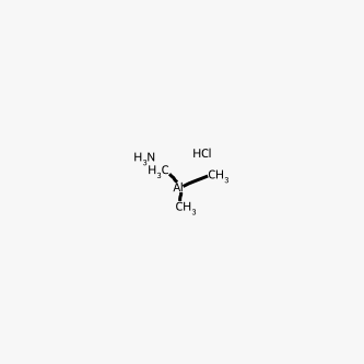 Cl.N.[CH3][Al]([CH3])[CH3]